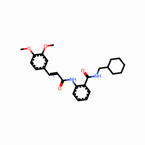 COc1ccc(/C=C/C(=O)Nc2ccccc2C(=O)NCC2CCCCC2)cc1OC